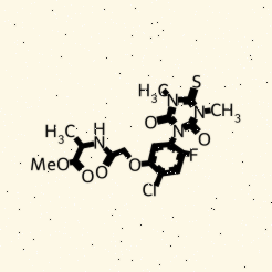 COC(=O)C(C)NC(=O)COc1cc(-n2c(=O)n(C)c(=S)n(C)c2=O)c(F)cc1Cl